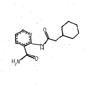 NC(=O)c1cccnc1NC(=O)[CH]C1CCCCC1